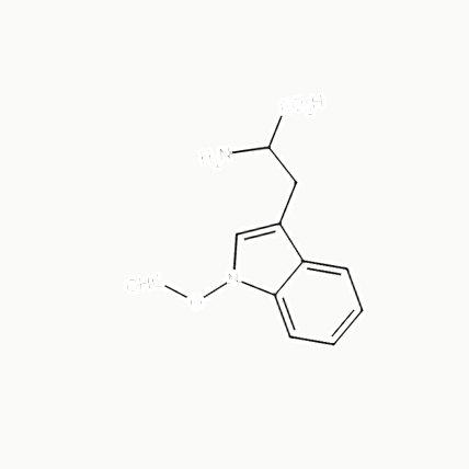 NC(Cc1cn(OC=O)c2ccccc12)C(=O)O